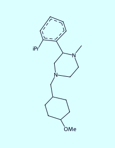 COC1CCC(CN2CCN(C)C(c3ccccc3C(C)C)C2)CC1